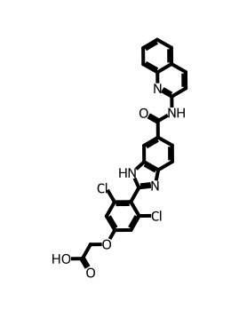 O=C(O)COc1cc(Cl)c(-c2nc3ccc(C(=O)Nc4ccc5ccccc5n4)cc3[nH]2)c(Cl)c1